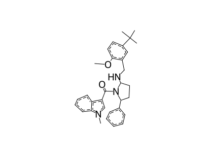 COc1ccc(C(C)(C)C)cc1CNC1CCC(c2ccccc2)N1C(=O)c1cn(C)c2ccccc12